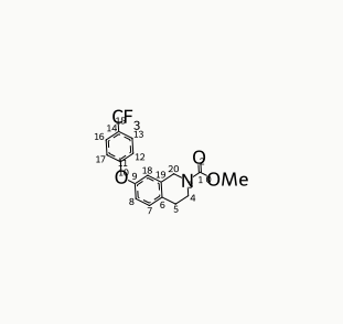 COC(=O)N1CCc2ccc(Oc3ccc(C(F)(F)F)cc3)cc2C1